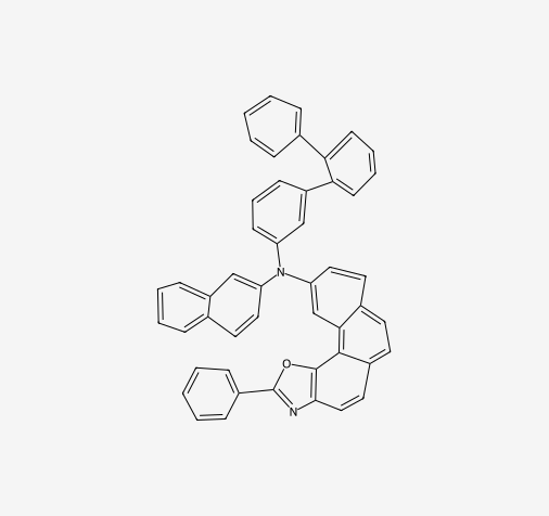 c1ccc(-c2nc3ccc4ccc5ccc(N(c6cccc(-c7ccccc7-c7ccccc7)c6)c6ccc7ccccc7c6)cc5c4c3o2)cc1